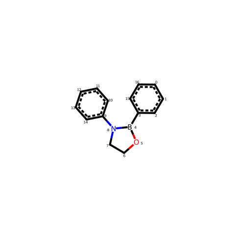 c1ccc(B2OCCN2c2ccccc2)cc1